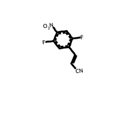 N#CC=Cc1cc(F)c([N+](=O)[O-])cc1F